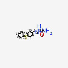 NC(=O)NN=Cc1ccc(Sc2ccccc2)cc1